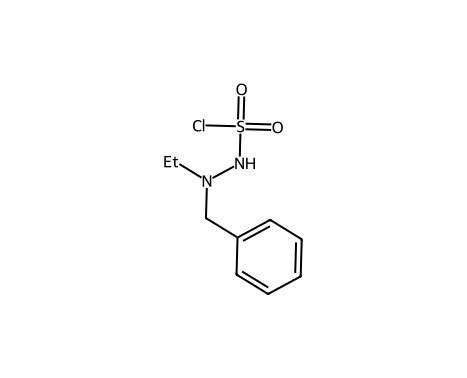 CCN(Cc1ccccc1)NS(=O)(=O)Cl